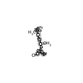 CCCn1nc(C)n(-c2ccc(N3CCN(c4ccc(OCC5COC(Cn6ccnc6)(c6ccc(Cl)cc6Cl)O5)cc4)CC3)cc2)c1=O.O